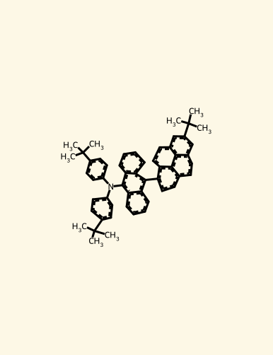 CC(C)(C)c1ccc(N(c2ccc(C(C)(C)C)cc2)c2c3ccccc3c(-c3ccc4ccc5cc(C(C)(C)C)cc6ccc3c4c56)c3ccccc23)cc1